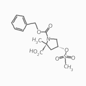 C[C@@]1(C(=O)O)C[C@@H](OS(C)(=O)=O)CN1C(=O)OCc1ccccc1